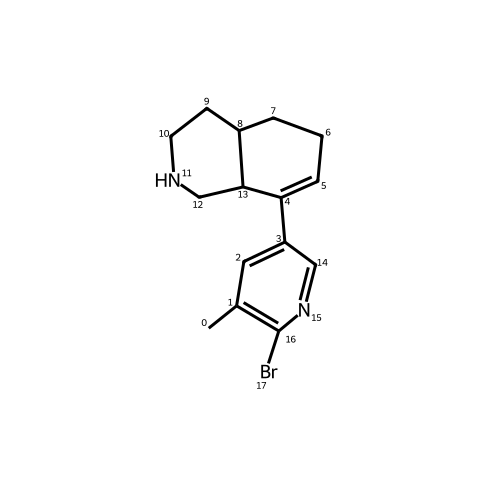 Cc1cc(C2=CCCC3CCNCC23)cnc1Br